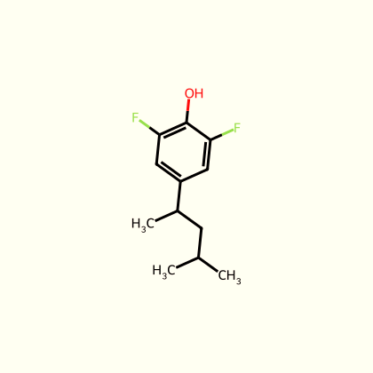 CC(C)CC(C)c1cc(F)c(O)c(F)c1